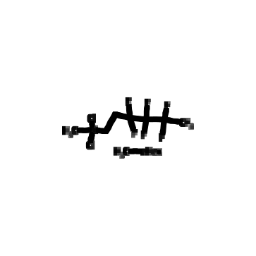 CCCCCCC.C[Si](Cl)(Cl)CCC(F)(F)C(F)(F)C(F)(F)C(F)(F)F